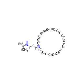 C=C(CC)NCCCN1CCCCCCCCCCCCCCCCCCCCCC1